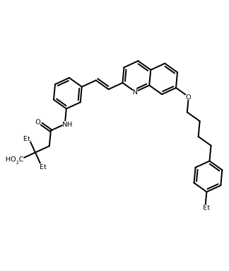 CCc1ccc(CCCCOc2ccc3ccc(C=Cc4cccc(NC(=O)CC(CC)(CC)C(=O)O)c4)nc3c2)cc1